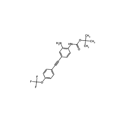 CC(C)(C)OC(=O)Nc1ccc(C#Cc2ccc(OC(F)(F)F)cc2)cc1N